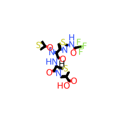 O=C(O)C1=CN2C(=O)C(NC(=O)C(=NOC3CSC3)c3csc(NC(=O)C(F)(F)F)n3)[C@H]2SC1